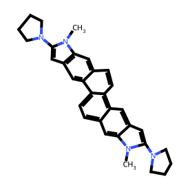 Cn1c(N2CCCC2)cc2cc3c(ccc4c5cc6cc(N7CCCC7)n(C)c6cc5ccc34)cc21